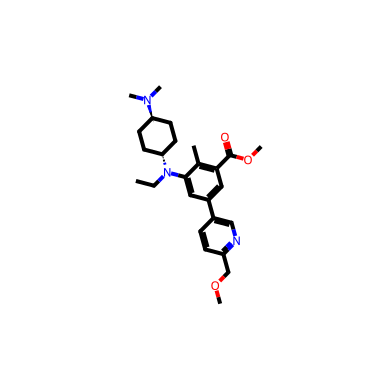 CCN(c1cc(-c2ccc(COC)nc2)cc(C(=O)OC)c1C)[C@H]1CC[C@H](N(C)C)CC1